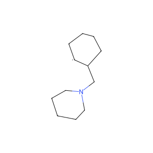 [CH]1CCCCC1CN1CCCCC1